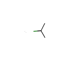 CC(C)Cl.[NaH]